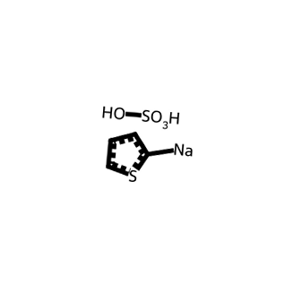 O=S(=O)(O)O.[Na][c]1cccs1